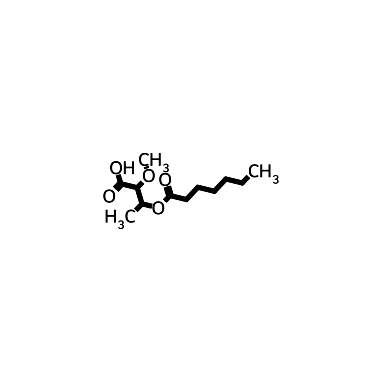 CCCCCCC(=O)OC(C)C(OC)C(=O)O